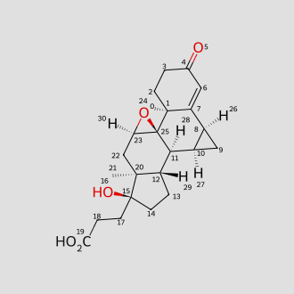 C[C@]12CCC(=O)C=C1[C@H]1C[C@H]1[C@H]1[C@@H]3CC[C@](O)(CCC(=O)O)[C@@]3(C)C[C@H]3O[C@@]132